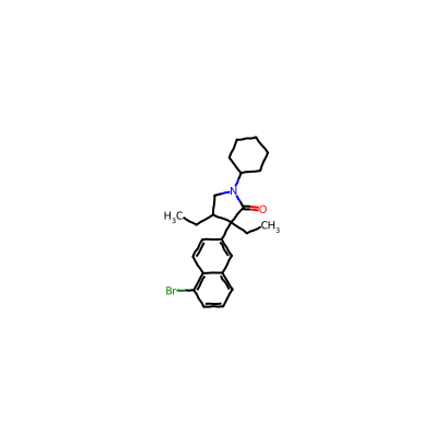 CCC1CN(C2CCCCC2)C(=O)C1(CC)c1ccc2c(Br)cccc2c1